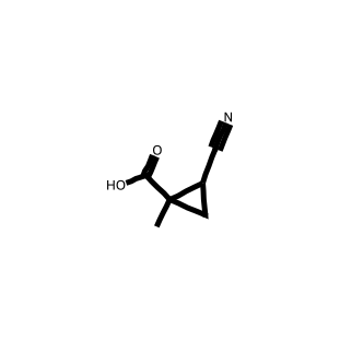 CC1(C(=O)O)CC1C#N